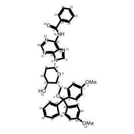 COc1ccc(C(OC[C@H]2O[C@@H](n3cnc4c(NC(=O)c5ccccc5)ncnc43)CC[C@@H]2O)(c2ccccc2)c2ccc(OC)cc2)cc1